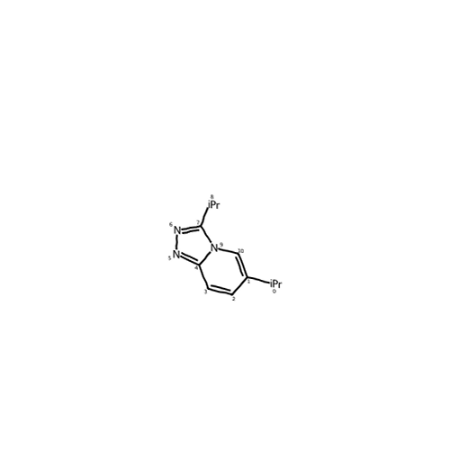 CC(C)c1ccc2nnc(C(C)C)n2c1